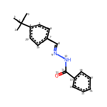 CC(C)(C)c1ccc(C=NNC(=O)c2ccccc2)cc1